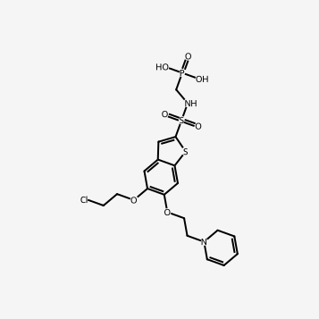 O=P(O)(O)CNS(=O)(=O)c1cc2cc(OCCCl)c(OCCN3C=CC=CC3)cc2s1